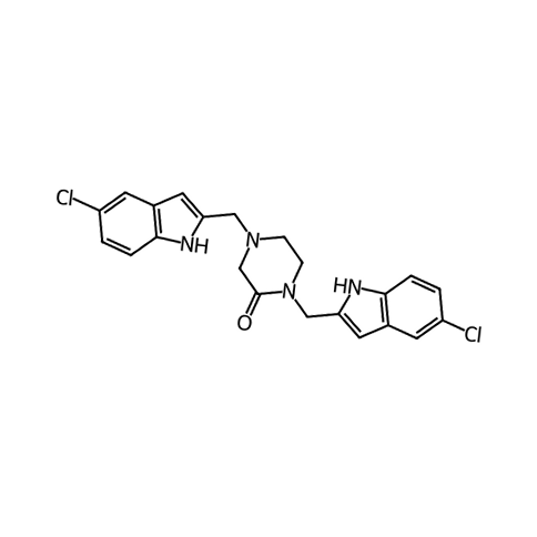 O=C1CN(Cc2cc3cc(Cl)ccc3[nH]2)CCN1Cc1cc2cc(Cl)ccc2[nH]1